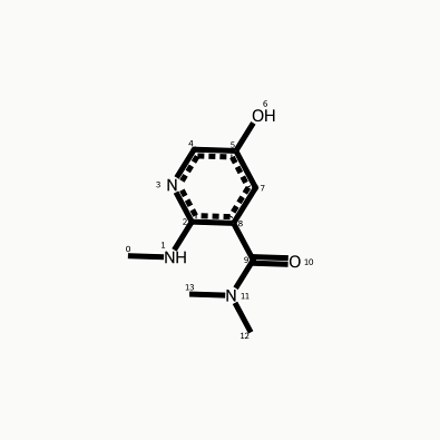 CNc1ncc(O)cc1C(=O)N(C)C